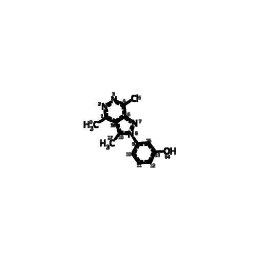 Cc1nnc(Cl)c2nn(-c3cccc(O)c3)c(C)c12